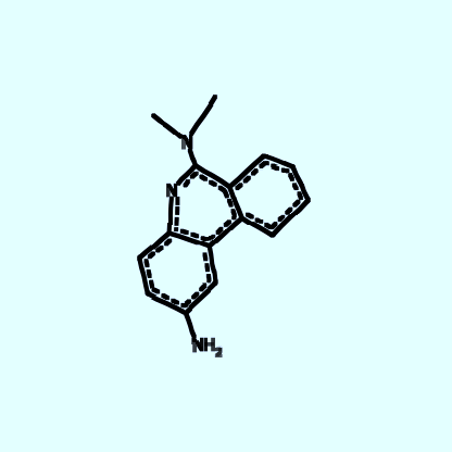 CN(C)c1nc2ccc(N)cc2c2ccccc12